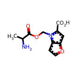 CC(N)C(=O)OCn1c(C(=O)O)cc2occc21